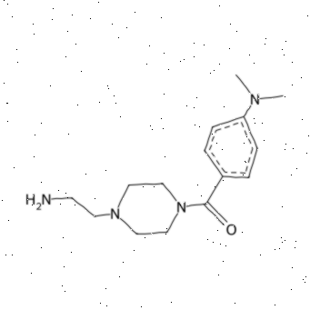 CN(C)c1ccc(C(=O)N2CCN(CCN)CC2)cc1